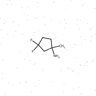 CC1(N)CCC(F)(F)C1